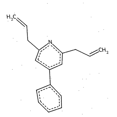 C=CCc1cc(-c2ccccc2)cc(CC=C)n1